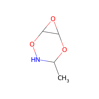 CC1NOC2OC2O1